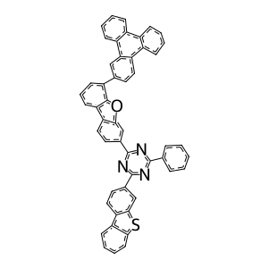 c1ccc(-c2nc(-c3ccc4c(c3)oc3c(-c5ccc6c7ccccc7c7ccccc7c6c5)cccc34)nc(-c3ccc4c(c3)sc3ccccc34)n2)cc1